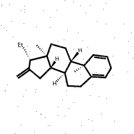 C=C1C[C@H]2[C@@H]3CCC4=CCC=C[C@]4(C)[C@H]3CC[C@]2(C)[C@H]1CC